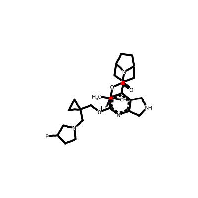 CC(C)(C)OC(=O)N1C2CCC1CN(c1nc(OCC3(CN4CCC(F)C4)CC3)nc3c1CNC3)C2